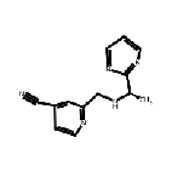 C[C@@H](NCc1cc(C#N)ccn1)c1ncccn1